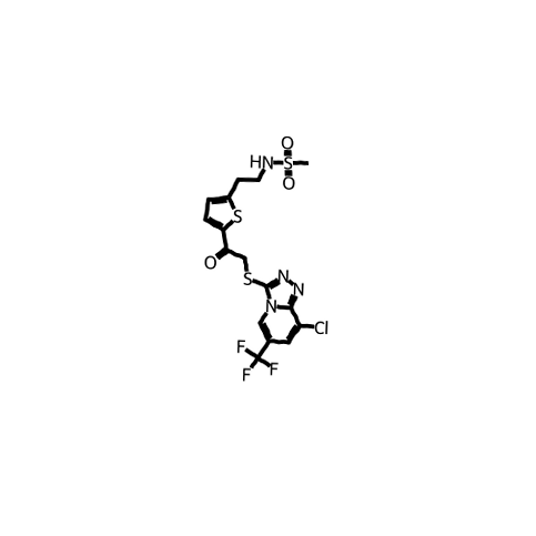 CS(=O)(=O)NCCc1ccc(C(=O)CSc2nnc3c(Cl)cc(C(F)(F)F)cn23)s1